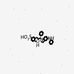 Cc1ccc(S(=O)(=O)O)cc1C[C@H](O)[C@H](c1ccccc1)N1CCc2cc(Nc3ccccc3)ccc21